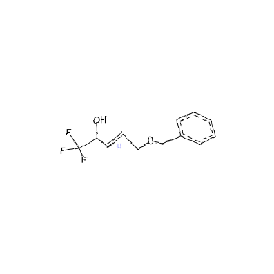 OC(/C=C/COCc1ccccc1)C(F)(F)F